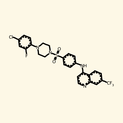 O=S(=O)(c1ccc(Nc2ccnc3cc(C(F)(F)F)ccc23)cc1)N1CCN(c2ccc(Cl)cc2F)CC1